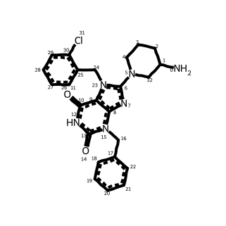 NC1CCCN(c2nc3c(c(=O)[nH]c(=O)n3Cc3ccccc3)n2Cc2ccccc2Cl)C1